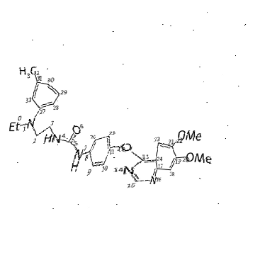 CCN(CCNC(=O)Nc1ccc(Oc2ncnc3cc(OC)c(OC)cc23)cc1)c1cccc(C)c1